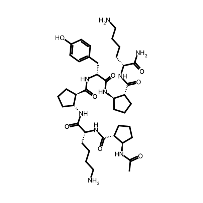 CC(=O)N[C@@H]1CCC[C@H]1C(=O)N[C@H](CCCCN)C(=O)N[C@@H]1CCC[C@H]1C(=O)N[C@H](Cc1ccc(O)cc1)C(=O)N[C@@H]1CCC[C@H]1C(=O)N[C@H](CCCCN)C(N)=O